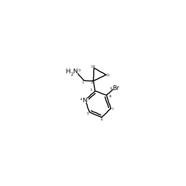 NCC1(c2ncccc2Br)CC1